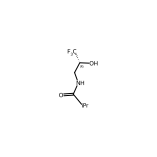 CC(C)C(=O)NC[C@@H](O)C(F)(F)F